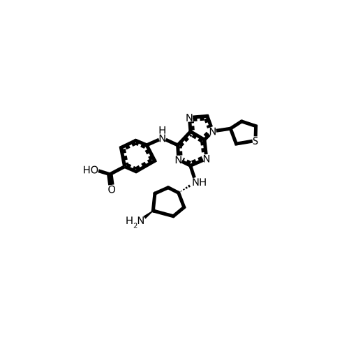 N[C@H]1CC[C@H](Nc2nc(Nc3ccc(C(=O)O)cc3)c3ncn(C4CCSC4)c3n2)CC1